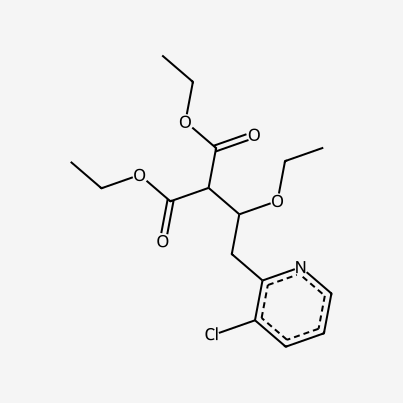 CCOC(=O)C(C(=O)OCC)C(Cc1ncccc1Cl)OCC